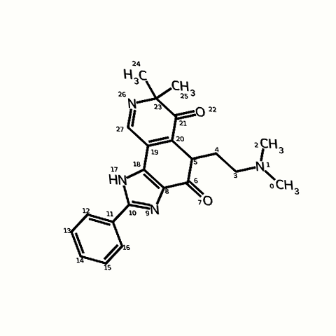 CN(C)CCC1C(=O)c2nc(-c3ccccc3)[nH]c2C2=C1C(=O)C(C)(C)N=C2